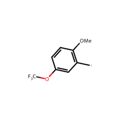 [CH]c1cc(OC(F)(F)F)ccc1OC